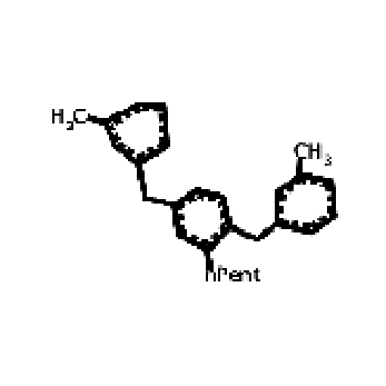 CCCCCc1cc(Cc2cccc(C)c2)ccc1Cc1cccc(C)c1